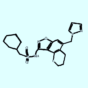 O=S(=O)(CC1CCCCC1)Nc1noc2cc(Cn3cccn3)c3c(c12)OCCC3